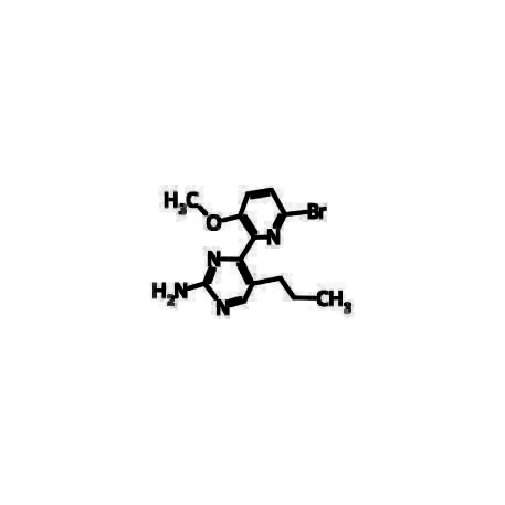 CCCc1cnc(N)nc1-c1nc(Br)ccc1OC